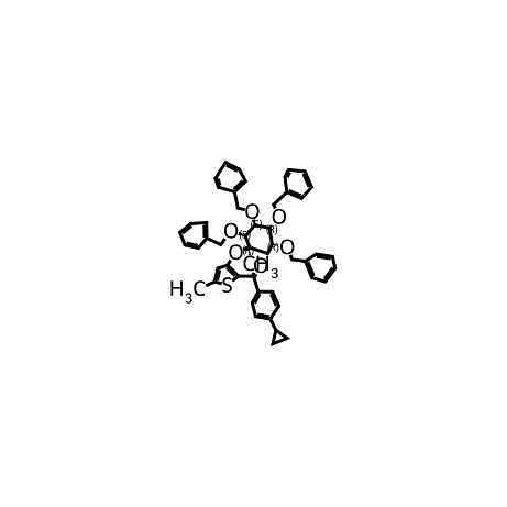 Cc1cc(O[C@]2(C)C[C@@H](OCc3ccccc3)[C@@H](OCc3ccccc3)[C@H](OCc3ccccc3)[C@@H]2OCc2ccccc2)c(C(=O)c2ccc(C3CC3)cc2)s1